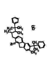 Cc1cc2c(cc1C(C)(C)c1ccccc1)-c1ccc(CC(C)C(C)C(C)(C)c3ccccc3)[c]([Zr+2])c1C2.[Cl-].[Cl-]